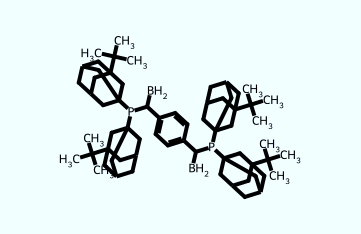 BC(c1ccc(C(B)P(C23CC4CC(C2)CC(C(C)(C)C)(C4)C3)C23CC4CC(C2)CC(C(C)(C)C)(C4)C3)cc1)P(C12CC3CC(C1)CC(C(C)(C)C)(C3)C2)C12CC3CC(C1)CC(C(C)(C)C)(C3)C2